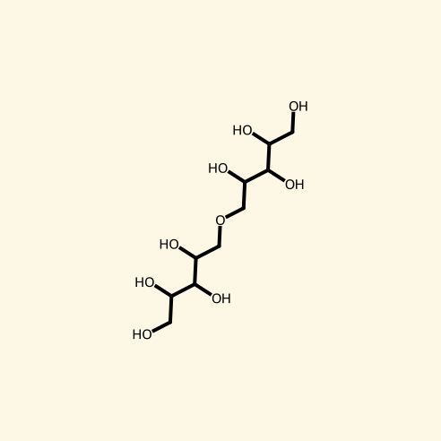 OCC(O)C(O)C(O)COCC(O)C(O)C(O)CO